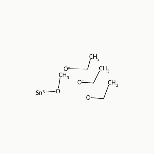 CC[O-].CC[O-].CC[O-].C[O][Sn+3]